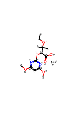 CCOC(C)(C)C(Oc1nc(OC)cc(OC)n1)C(=O)[O-].[Na+]